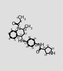 CCC(=O)N1c2ccccc2[C@H](Nc2ccc(NC(=O)C3CCNC3)cc2)C[C@@H]1C